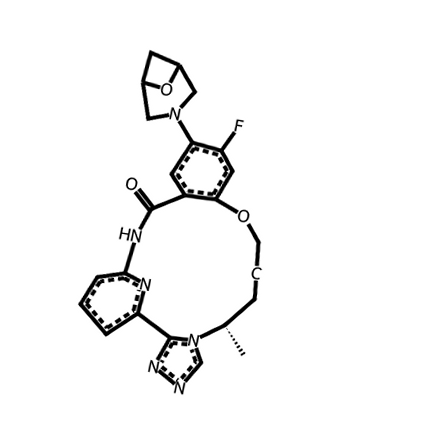 C[C@H]1CCCOc2cc(F)c(N3CC4CC(C3)O4)cc2C(=O)Nc2cccc(n2)-c2nncn21